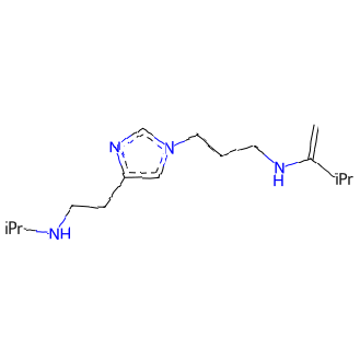 C=C(NCCCn1cnc(CCNC(C)C)c1)C(C)C